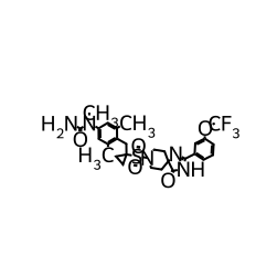 Cc1cc(N(C)C(N)=O)cc(C)c1CC1(S(=O)(=O)N2CCC3(CC2)N=C(c2cccc(OC(F)(F)F)c2)NC3=O)CC1